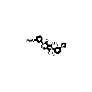 COc1ccnc(-n2ncc3c(C)n(-c4cccc(N5CCC5)c4)c(C)c3c2=O)c1